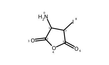 NC1C(=O)OC(=O)C1I